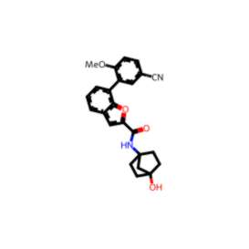 COc1ccc(C#N)cc1-c1cccc2cc(C(=O)NC34CCC(O)(CC3)C4)oc12